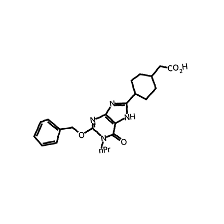 CCCn1c(OCc2ccccc2)nc2nc(C3CCC(CC(=O)O)CC3)[nH]c2c1=O